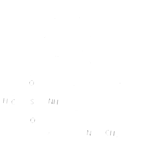 CN1CCCC(NS(C)(=O)=O)C1c1cccc(-c2ccccc2)c1